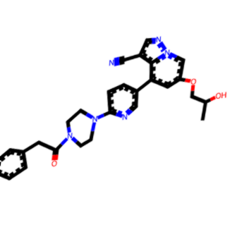 CC(O)COc1cc(-c2ccc(N3CCN(C(=O)Cc4ccccc4)CC3)nc2)c2c(C#N)cnn2c1